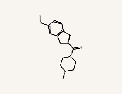 COc1ccc2c(c1)CC(C(=O)N1CCN(C)CC1)N2